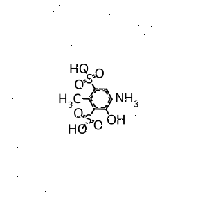 Cc1c(S(=O)(=O)O)ccc(O)c1S(=O)(=O)O.N